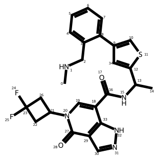 CNCc1ccccc1-c1csc(C(C)NC(=O)c2cn(C3CC(F)(F)C3)c(=O)c3cn[nH]c23)c1